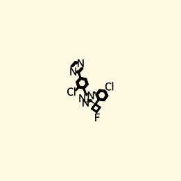 Cn1c(-c2ccc(-c3cnccn3)cc2Cl)nnc1[C@]1(c2ccc(Cl)cc2)C[C@@H](F)C1